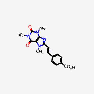 CCCn1c(=O)c2c(nc(/C=C/c3ccc(C(=O)O)cc3)n2C)n(CCC)c1=O